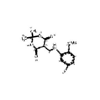 COc1ccc(F)cc1NCC1C(=O)OC(C)(C)OC1=O